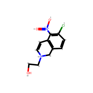 O=[N+]([O-])c1c(Cl)ccc2c1C=CN(CCO)C2